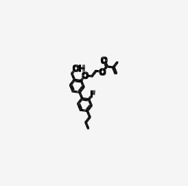 C=C(C)C(=O)OCCOc1cc(-c2ccc(CCC)cc2F)ccc1CO